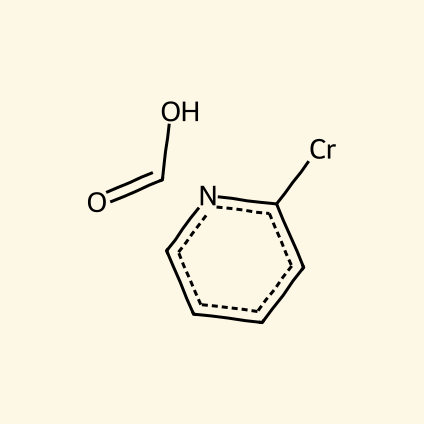 O=CO.[Cr][c]1ccccn1